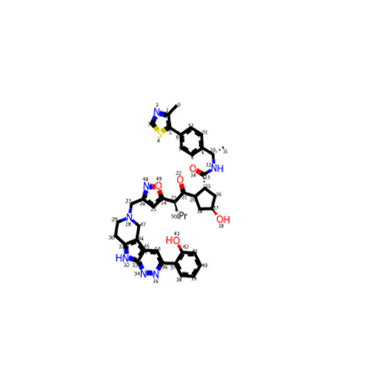 Cc1ncsc1-c1ccc([C@H](C)NC(=O)[C@@H]2C[C@@H](O)CC2C(=O)[C@H](c2cc(CN3CCc4[nH]c5nnc(-c6ccccc6O)cc5c4C3)no2)C(C)C)cc1